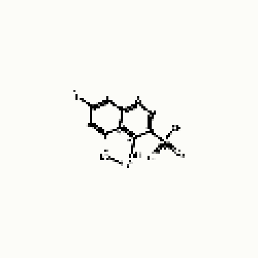 CCI.O=S(=O)(Cl)c1cnc2cc(F)ccc2c1O